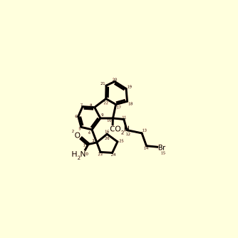 NC(=O)C1(c2cccc3c2C(CCCCBr)(C(=O)O)c2ccccc2-3)CCCC1